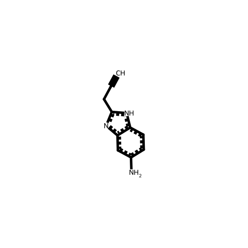 C#CCc1nc2cc(N)ccc2[nH]1